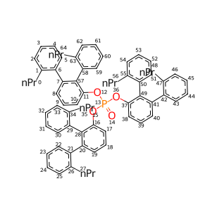 CCCc1ccccc1-c1cccc(OP(=O)(Oc2cccc(-c3ccccc3CCC)c2-c2ccccc2CCC)Oc2cccc(-c3ccccc3CCC)c2-c2ccccc2CCC)c1-c1ccccc1CCC